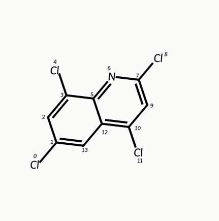 Clc1cc(Cl)c2nc(Cl)cc(Cl)c2c1